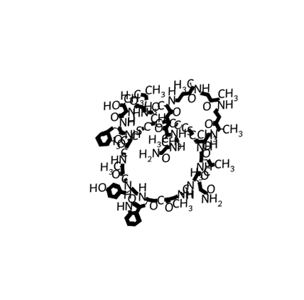 CC(=O)N[C@@H](CC(C)C)C(=O)N[C@H](C(=O)N[C@@H](Cc1ccccc1)C(=O)N[C@]1(C)CSCCCCCCCSC[C@@](C)(C(=O)CN[C@@H](C)C(=O)CCN[C@@H](C)C(=O)CCN[C@@H](C)C(=O)CCN[C@@H](C)C(=O)CCC(=O)[C@H](C)NCN[C@H](C)C(N)=O)NC(=O)[C@H](CC(C)C)NC(=O)[C@H](CCC(N)=O)NCN[C@@H](C)C(=O)CC(=O)[C@H](Cc2c[nH]c3ccccc23)NC(=O)[C@H](Cc2ccc(O)cc2)NCC(=O)[C@H](C)NCC1=O)[C@@H](C)O